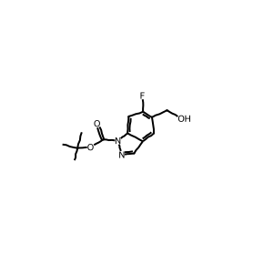 CC(C)(C)OC(=O)n1ncc2cc(CO)c(F)cc21